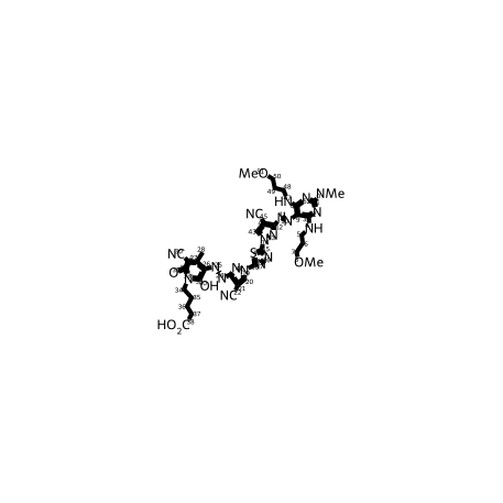 CNc1nc(NCCCOC)c(N=Nc2nn(-c3nnc(-n4cc(C#N)c(N=Nc5c(C)c(C#N)c(=O)n(CCCCC(=O)O)c5O)n4)s3)cc2C#N)c(NCCCOC)n1